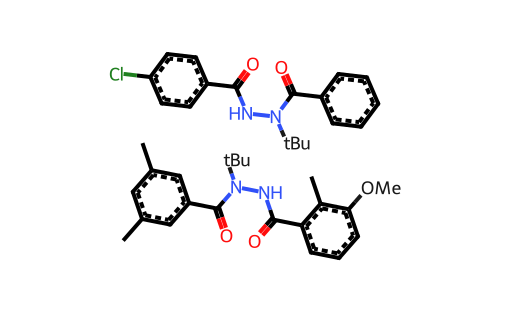 CC(C)(C)N(NC(=O)c1ccc(Cl)cc1)C(=O)c1ccccc1.COc1cccc(C(=O)NN(C(=O)c2cc(C)cc(C)c2)C(C)(C)C)c1C